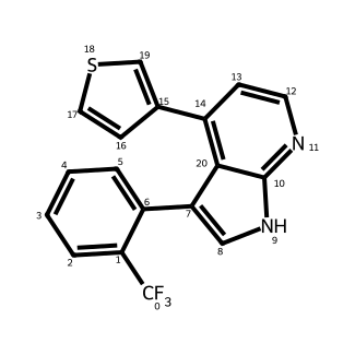 FC(F)(F)c1ccccc1-c1c[nH]c2nccc(-c3ccsc3)c12